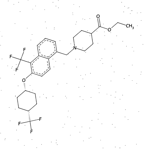 CCOC(=O)C1CCN(Cc2cccc3c(C(F)(F)F)c(O[C@H]4CC[C@@H](C(F)(F)F)CC4)ccc23)CC1